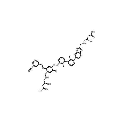 Cc1c(COc2cc(OCc3cncc(C#N)c3)c(CNCC(O)CC(=O)O)cc2Cl)cccc1-c1cccc(-c2ccc3sc(CNCC(O)CC(=O)O)nc3c2)c1C